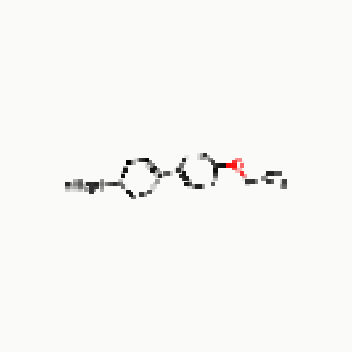 CCCCCCCC1CC=C(C2=CCC(OCC(F)(F)F)C=C2)CC1